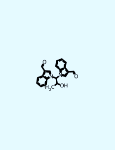 [CH2]C(O)C(n1cc(C=O)c2ccccc21)n1cc(C=O)c2ccccc21